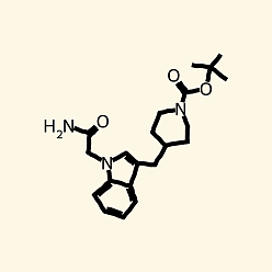 CC(C)(C)OC(=O)N1CCC(Cc2cn(CC(N)=O)c3ccccc23)CC1